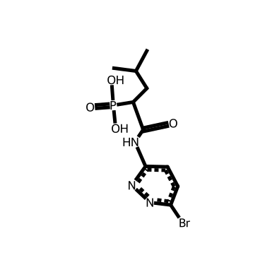 CC(C)CC(C(=O)Nc1ccc(Br)nn1)P(=O)(O)O